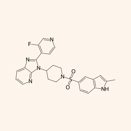 Cc1cc2cc(S(=O)(=O)N3CCC(n4c(-c5ccncc5F)nc5cccnc54)CC3)ccc2[nH]1